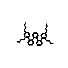 CCCCc1ccc(-c2ccccc2-c2ccccc2-c2ccccc2-c2ccc(CCCC)cc2CCCC)c(CCCC)c1